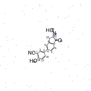 N#Cc1cc(-c2ccc3c(c2)C/C(=N\O)C3=O)ccc1O